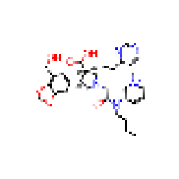 CCCCN(C(=O)CN1C[C@H](c2cc(CO)c3c(c2)OCO3)[C@@H](C(=O)O)[C@@H]1CCc1ccncn1)c1ccc[n+](C)c1